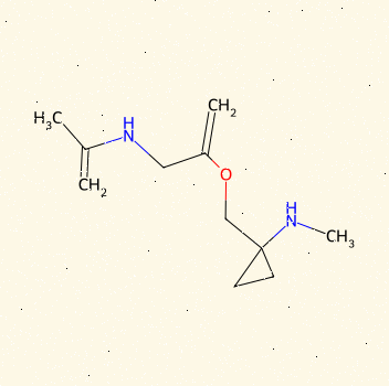 C=C(C)NCC(=C)OCC1(NC)CC1